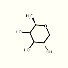 C[C@H]1OC[C@H](O)C(O)C1O